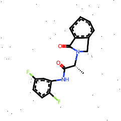 C[C@H](C(=O)Nc1cc(F)ccc1F)N1Cc2ccccc2C1=O